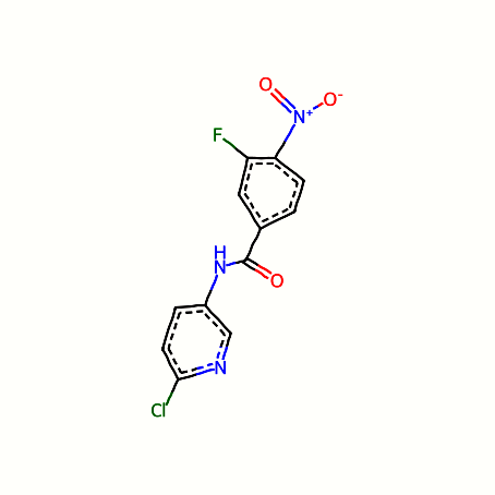 O=C(Nc1ccc(Cl)nc1)c1ccc([N+](=O)[O-])c(F)c1